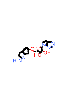 Nc1ccc2ccc(OC[C@H]3O[C@@H](n4ccc5cncnc54)[C@H](O)[C@@H]3O)cc2n1